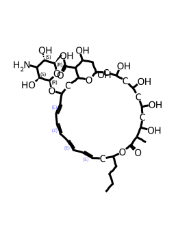 CCCCC1C/C=C/C=C/C=C\C=C\C(O[C@@H]2O[C@H](C)[C@@H](O)C(N)[C@@H]2O)CC2OC(O)(CC(O)CC(O)CC(O)CC(O)C(C)C(=O)O1)CC(O)C2C(=O)O